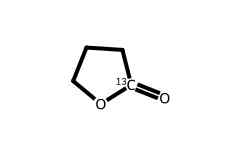 O=[13C]1CCCO1